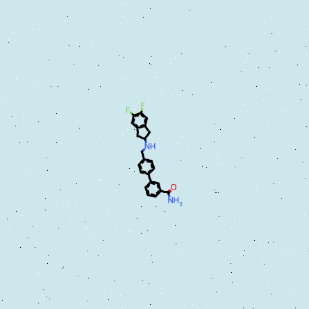 NC(=O)c1cccc(-c2ccc(CNC3Cc4cc(F)c(F)cc4C3)cc2)c1